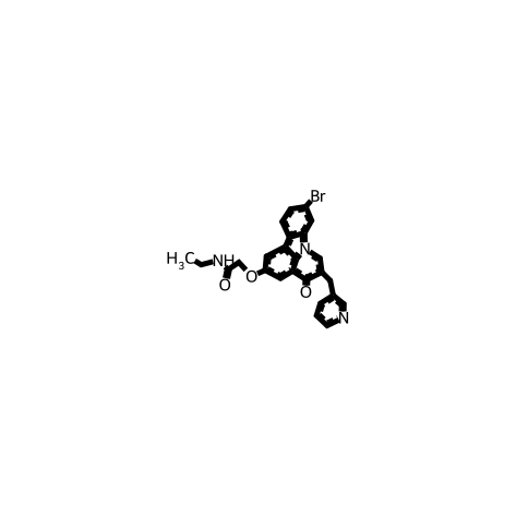 CCNC(=O)COc1cc2c(=O)c(Cc3cccnc3)cn3c4cc(Br)ccc4c(c1)c23